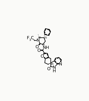 C[C@@H]1[C@H](c2ccccc2)C[C@H](NC(=O)c2cc3c(o2)CC[C@]2(C3)C(=O)Nc3ncccc32)C(=O)N1CC(F)(F)F